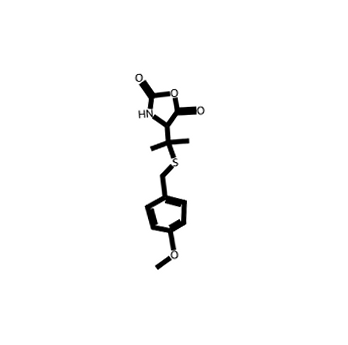 COc1ccc(CSC(C)(C)C2NC(=O)OC2=O)cc1